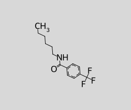 CCCCCCNC(=O)c1ccc(C(F)(F)F)cc1